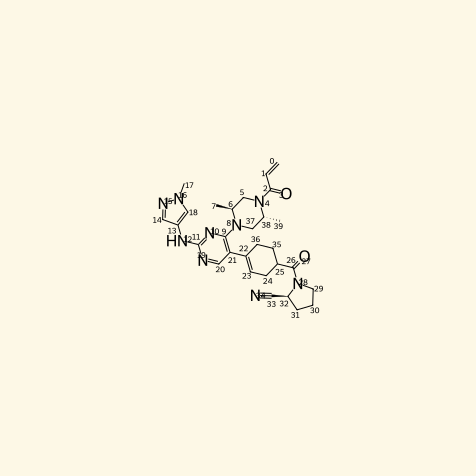 C=CC(=O)N1C[C@H](C)N(c2nc(Nc3cnn(C)c3)ncc2C2=CCC(C(=O)N3CCC[C@H]3C#N)CC2)C[C@H]1C